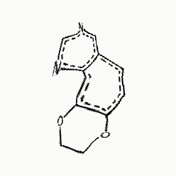 c1ncc2ccc3c(c2n1)OCCO3